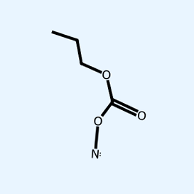 CCCOC(=O)O[N]